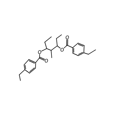 CCc1ccc(C(=O)OC(CC)C(C)C(CC)OC(=O)c2ccc(CC)cc2)cc1